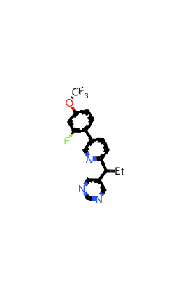 CCC(c1cncnc1)c1ccc(-c2ccc(OC(F)(F)F)cc2F)cn1